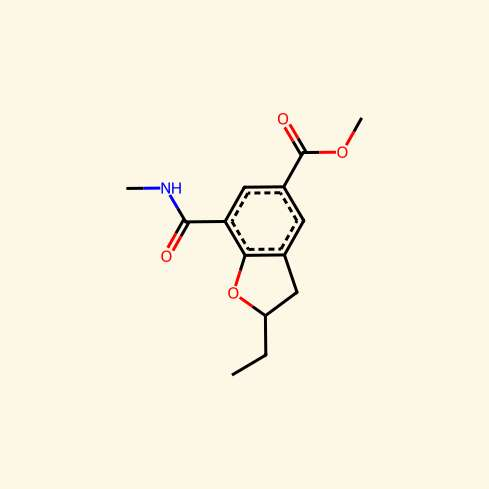 CCC1Cc2cc(C(=O)OC)cc(C(=O)NC)c2O1